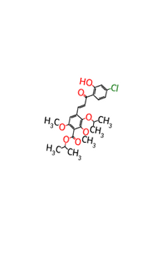 COc1cc(/C=C/C(=O)c2ccc(Cl)cc2O)c(OC(C)C)c(OC)c1C(=O)OC(C)C